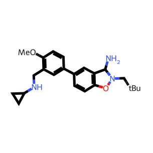 COc1ccc(-c2ccc3c(c2)C(N)N(CC(C)(C)C)O3)cc1CNC1CC1